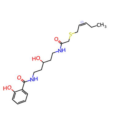 CC/C=C\CSCC(=O)NCCC(O)CCNC(=O)c1ccccc1O